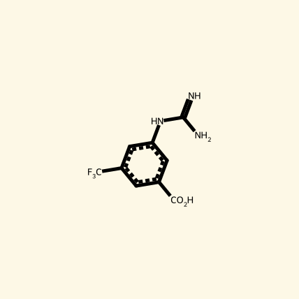 N=C(N)Nc1cc(C(=O)O)cc(C(F)(F)F)c1